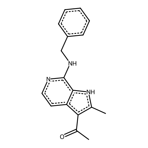 CC(=O)c1c(C)[nH]c2c(NCc3ccccc3)nccc12